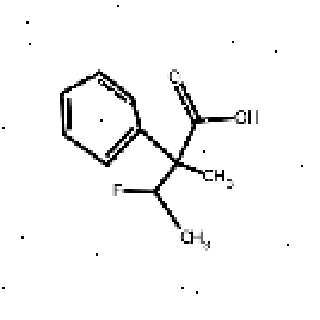 CC(F)C(C)(C(=O)O)c1ccccc1